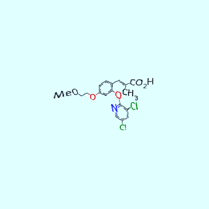 COCCOc1ccc(C=C(C)C(=O)O)c(Oc2ncc(Cl)cc2Cl)c1